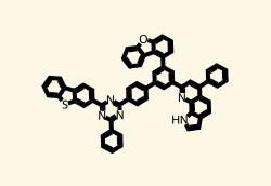 c1ccc(-c2nc(-c3ccc(-c4cc(-c5cc(-c6ccccc6)c6ccc7cc[nH]c7c6n5)cc(-c5cccc6oc7ccccc7c56)c4)cc3)nc(-c3ccc4c(c3)sc3ccccc34)n2)cc1